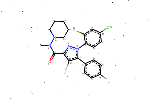 CN(C(=O)c1nn(-c2ccc(Cl)cc2Cl)c(-c2ccc(Cl)cc2)c1F)N1CCCCC1